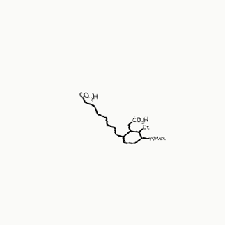 CCCCCCC1CCC(CCCCCCCC(=O)O)C(CC(=O)O)C1CC